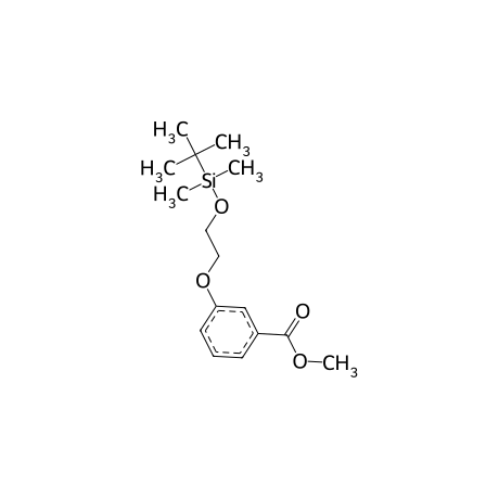 COC(=O)c1cccc(OCCO[Si](C)(C)C(C)(C)C)c1